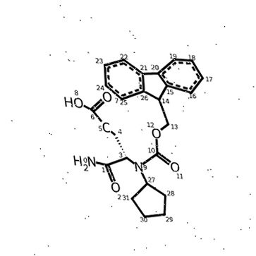 NC(=O)[C@H](CCC(=O)O)N(C(=O)OCC1c2ccccc2-c2ccccc21)C1CCCC1